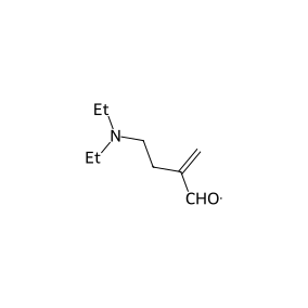 C=C([C]=O)CCN(CC)CC